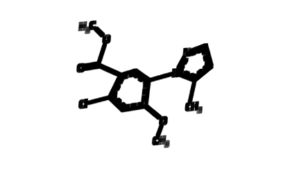 COC(=O)c1cc(-n2nccc2C)c(OC)cc1Cl